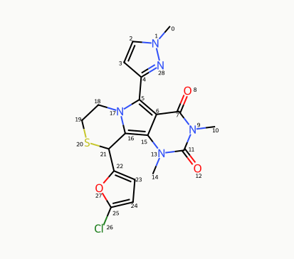 Cn1ccc(-c2c3c(=O)n(C)c(=O)n(C)c3c3n2CCSC3c2ccc(Cl)o2)n1